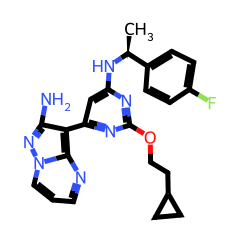 C[C@H](Nc1cc(-c2c(N)nn3cccnc23)nc(OCCC2CC2)n1)c1ccc(F)cc1